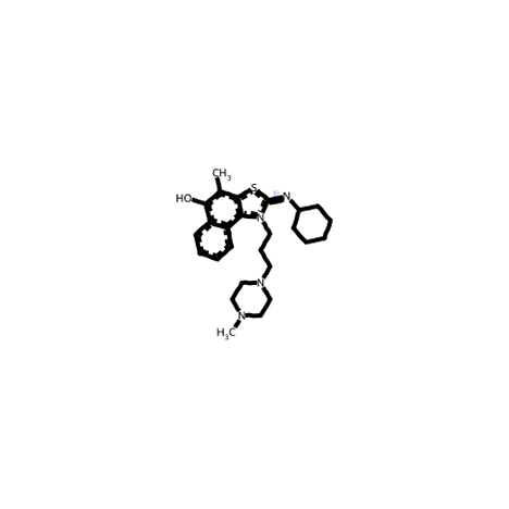 Cc1c(O)c2ccccc2c2c1s/c(=N/C1CCCCC1)n2CCCN1CCN(C)CC1